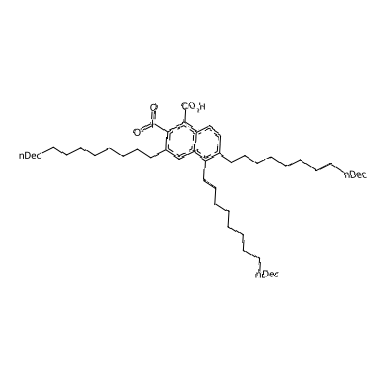 CCCCCCCCCCCCCCCCCCc1cc2c(CCCCCCCCCCCCCCCCCC)c(CCCCCCCCCCCCCCCCCC)ccc2c(C(=O)O)c1I(=O)=O